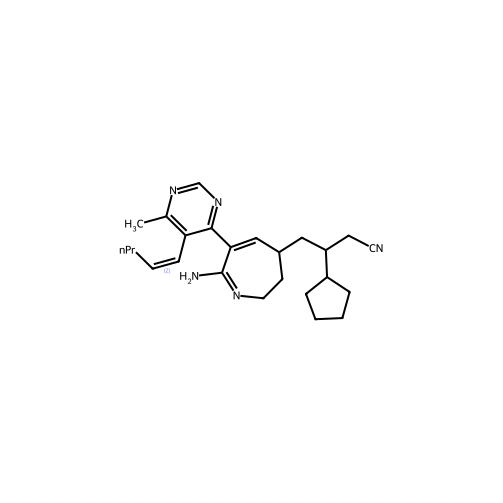 CCC/C=C\c1c(C)ncnc1C1=CC(CC(CC#N)C2CCCC2)CCN=C1N